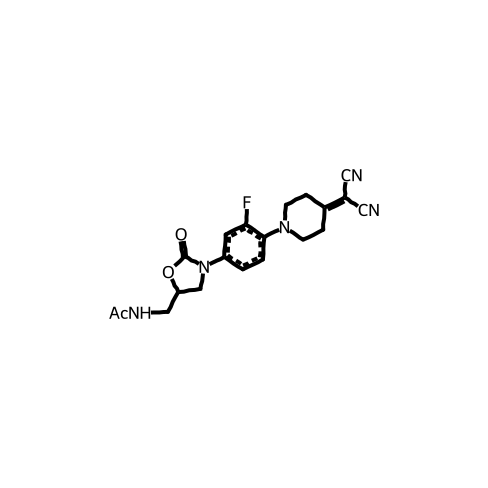 CC(=O)NCC1CN(c2ccc(N3CCC(=C(C#N)C#N)CC3)c(F)c2)C(=O)O1